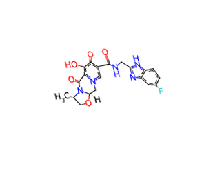 C[C@H]1CO[C@@H]2Cn3cc(C(=O)NCc4nc5cc(F)ccc5[nH]4)c(=O)c(O)c3C(=O)N12